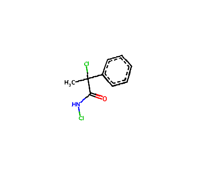 CC(Cl)(C(=O)NCl)c1ccccc1